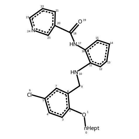 CCCCCCCOc1ccc(Cl)cc1CNc1ccccc1NC(=O)c1cccnc1